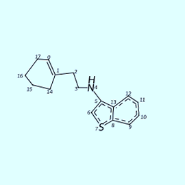 C1=C(CCNc2csc3ccccc23)CCCC1